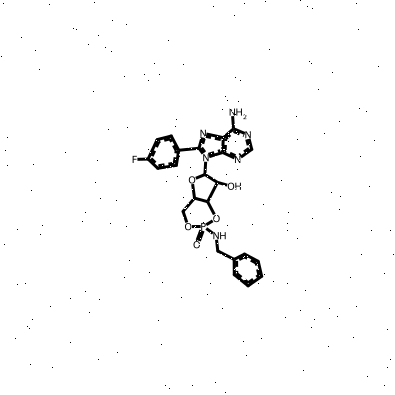 Nc1ncnc2c1nc(-c1ccc(F)cc1)n2C1OC2COP(=O)(NCc3ccccc3)OC2C1O